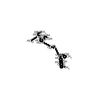 COc1cccc2c1C(=O)c1c(O)c3c(c(O)c1C2=O)C[C@@](O)(/C(CO)=N/NC(=O)CCCCCn1cc(CNC(=O)CCCCCO[C@@H]2[C@@H](O[C@H]4O[C@H](CO)[C@@H](O)[C@H](O)[C@H]4O)O[C@H](OC[C@H]4O[C@H](OC)[C@H](O)[C@@H](O)[C@@H]4OCCCCCC(=O)O)[C@H](O)[C@H]2O)nn1)CC3OC1CC(C)C(O)C(N)C1